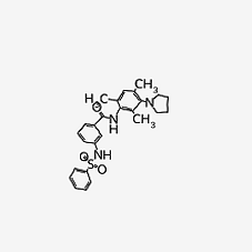 Cc1cc(C)c(N2CCCC2)c(C)c1NC(=O)c1cccc(NS(=O)(=O)c2ccccc2)c1